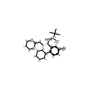 CC(C)(C)[S+]([O-])N[C@@H](CCC1OCCCO1)c1cc(Br)ccc1C1CCCCC1